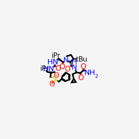 CC(C)CC(C)(CS(=O)(=O)Cc1ccccc1)NC(=O)N[C@H](C(=O)N1CCC(C(C)(C)C)[C@H]1C(=O)NC(CC1CC1)C(=O)C(N)=O)C(C)C